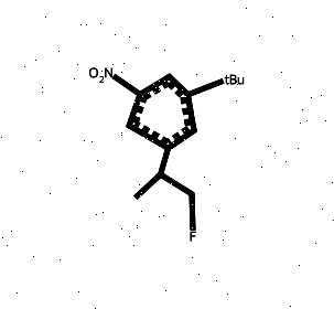 C[C](CF)c1cc([N+](=O)[O-])cc(C(C)(C)C)c1